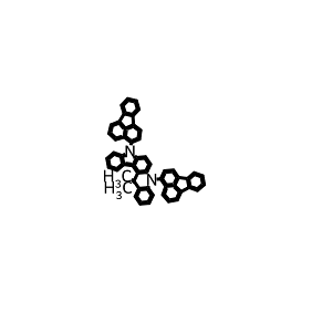 CC1(C)c2ccccc2N(c2ccc3c4c(cccc24)-c2ccccc2-3)c2ccc3c(c21)c1ccccc1n3-c1ccc2c3c(cccc13)-c1ccccc1-2